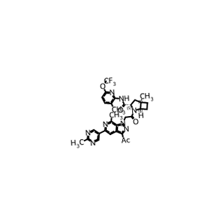 CC(=O)c1nn(CC(=O)N2[C@H](C(=O)Nc3nc(OC(F)(F)F)ccc3C)C[C@@]3(C)CC[C@@H]23)c2c(C)nc(-c3cnc(C)nc3)cc12